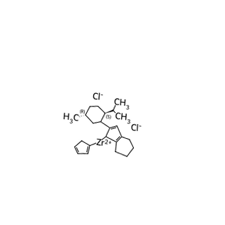 CC(C)[C@@H]1CC[C@@H](C)CC1C1=CC2=C(CCCC2)[CH]1[Zr+2][C]1=CC=CC1.[Cl-].[Cl-]